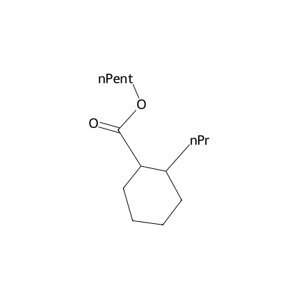 [CH2]CCC1CCCCC1C(=O)OCCCCC